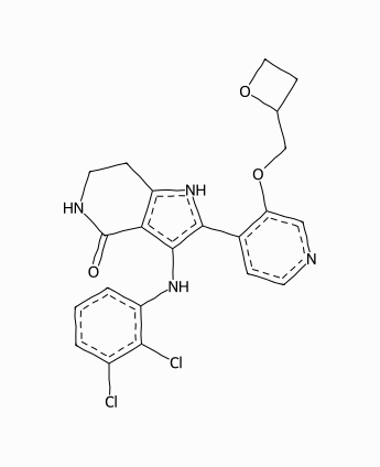 O=C1NCCc2[nH]c(-c3ccncc3OCC3CCO3)c(Nc3cccc(Cl)c3Cl)c21